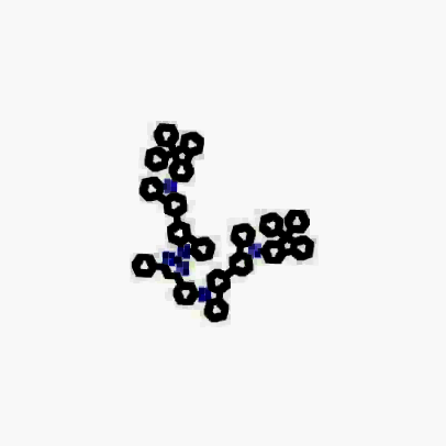 c1ccc(-c2cc(-c3cccc(-n4c5ccccc5c5cc(-c6ccc7c(c6)c6ccccc6n7-c6ccc7c(c6)C(c6ccccc6)(c6ccccc6)c6ccccc6-7)ccc54)c3)nc(-n3c4ccccc4c4cc(-c5ccc6c(c5)c5ccccc5n6-c5ccc6c(c5)C(c5ccccc5)(c5ccccc5)c5ccccc5-6)ccc43)n2)cc1